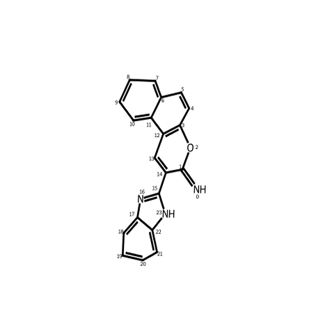 N=c1oc2ccc3ccccc3c2cc1-c1nc2ccccc2[nH]1